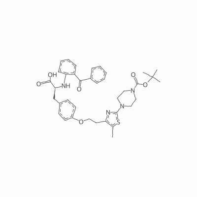 Cc1sc(N2CCN(C(=O)OC(C)(C)C)CC2)nc1CCOc1ccc(C[C@H](Nc2ccccc2C(=O)c2ccccc2)C(=O)O)cc1